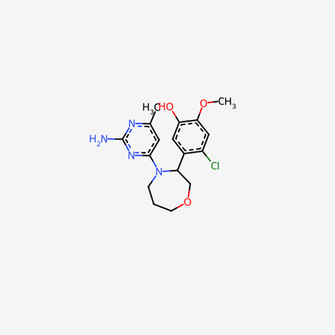 COc1cc(Cl)c(C2COCCCN2c2cc(C)nc(N)n2)cc1O